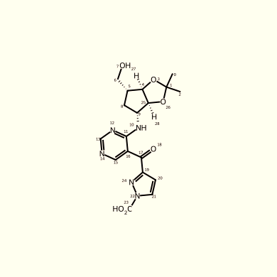 CC1(C)O[C@@H]2[C@@H](CO)C[C@@H](Nc3ncncc3C(=O)c3ccn(C(=O)O)n3)[C@@H]2O1